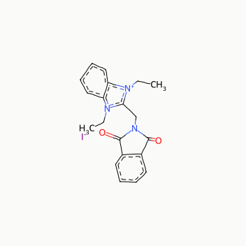 CCn1c(CN2C(=O)c3ccccc3C2=O)[n+](CC)c2ccccc21.[I-]